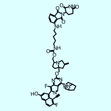 C#Cc1c(F)ccc2cc(O)cc(-c3ncc4c(N5CC6CCC(C5)N6)nc(OCC56CCC(COC(=O)NCCCCCNc7cccc8c7C(=O)N(C7CCC(=O)NC7=O)C8=O)N5CC(=C)C6)nc4c3F)c12